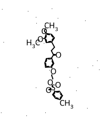 COc1ccc(CCC(=O)c2cccc(OCCOS(=O)(=O)c3ccc(C)cc3)c2)cc1OC